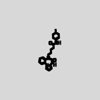 CC1CC=C(NC(=O)CCCCN2c3ccccc3-n3cccc3[C@@H]3OC32)CC1